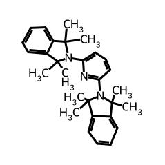 CC1(C)c2ccccc2C(C)(C)N1c1cccc(N2C(C)(C)c3ccccc3C2(C)C)n1